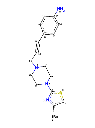 CC(C)(C)c1csc(N2CCN(CC#Cc3ccc(N)cc3)CC2)n1